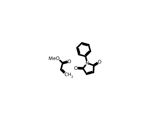 C=CC(=O)OC.O=C1C=CC(=O)N1c1ccccc1